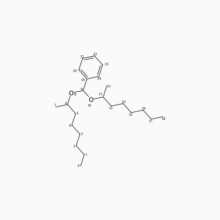 CCCCCCC(C)OC(OC(C)CCCCCC)c1ccccc1